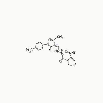 CC1=NN(c2ccc(C)cc2)C(=O)/C1=C\NNC(=O)c1ccccc1[N+](=O)[O-]